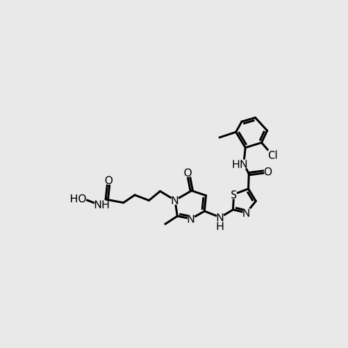 Cc1cccc(Cl)c1NC(=O)c1cnc(Nc2cc(=O)n(CCCCC(=O)NO)c(C)n2)s1